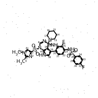 Cc1nc(S(=O)(=O)N2C=NC(N)(N3CCCCC3)c3c(-c4ccc(NS(=O)(=O)c5ccc(F)cc5)c(F)c4)c[nH]c32)cn1C